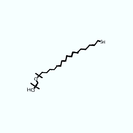 CC(C)(O)COC(C)(C)CCCCCCCCCCCCCCCCCS